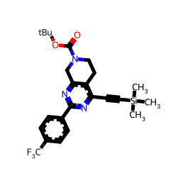 CC(C)(C)OC(=O)N1CCc2c(C#C[Si](C)(C)C)nc(-c3ccc(C(F)(F)F)cc3)nc2C1